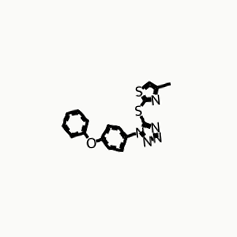 Cc1csc(Sc2nnnn2-c2ccc(Oc3ccccc3)cc2)n1